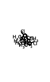 CC1=C(C)[CH]([Zr]([Cl])([Cl])([CH]2C(C)=C(C)c3c(CCl)ccc(C)c32)=[Si](C)C)c2c(C)ccc(CCl)c21